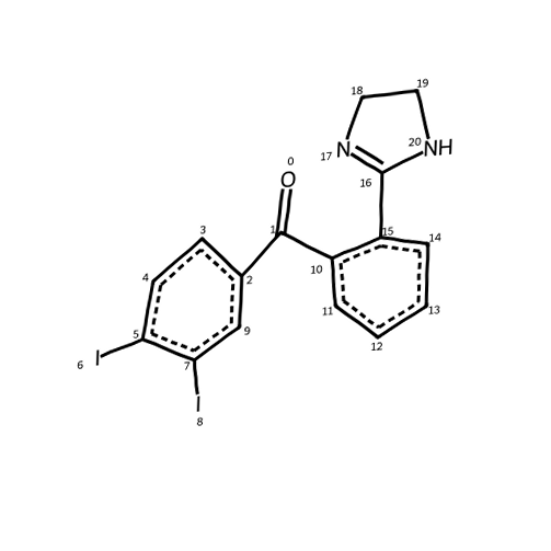 O=C(c1ccc(I)c(I)c1)c1ccccc1C1=NCCN1